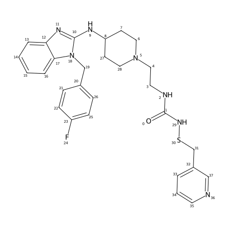 O=C(NCCN1CCC(Nc2nc3ccccc3n2Cc2ccc(F)cc2)CC1)NSCc1cccnc1